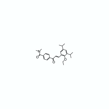 CCOc1c(C=CC(=O)c2ccc(C(=O)N(C)C)cc2)cc(C(C)C)cc1C(C)C